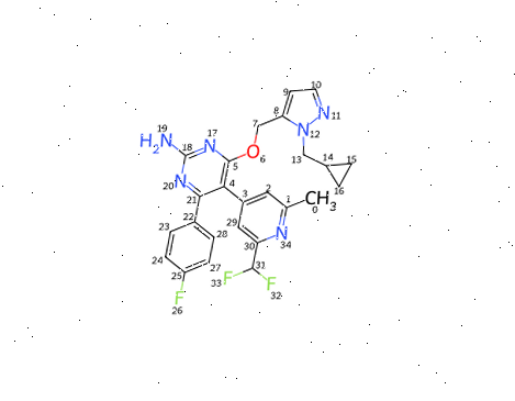 Cc1cc(-c2c(OCc3ccnn3CC3CC3)nc(N)nc2-c2ccc(F)cc2)cc(C(F)F)n1